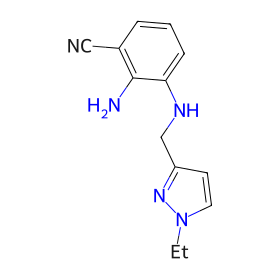 CCn1ccc(CNc2cccc(C#N)c2N)n1